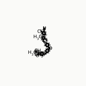 C[C@H]1CC2(CCN(c3ccc(C(=O)N4CCC(CN5CCN(C(=O)OC(C)(C)C)CC5)CC4)cc3)CC2)CN1c1ccc(C#N)c(Cl)c1